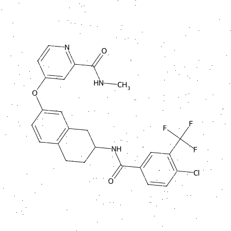 CNC(=O)c1cc(Oc2ccc3c(c2)CC(NC(=O)c2ccc(Cl)c(C(F)(F)F)c2)CC3)ccn1